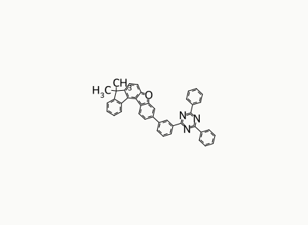 CC1(C)c2ccccc2-c2c1ccc1oc3cc(-c4cccc(-c5nc(-c6ccccc6)nc(-c6ccccc6)n5)c4)ccc3c21